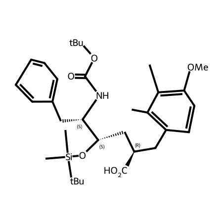 COc1ccc(C[C@H](C[C@H](O[Si](C)(C)C(C)(C)C)[C@H](Cc2ccccc2)NC(=O)OC(C)(C)C)C(=O)O)c(C)c1C